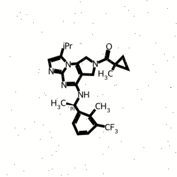 Cc1c([C@@H](C)Nc2nc3ncc(C(C)C)n3c3c2CN(C(=O)C2(C)CC2)C3)cccc1C(F)(F)F